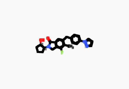 Cc1c(Cc2ccc(-n3cccn3)cc2)cc2c(c1F)CN([C@H]1CCC[C@@H]1O)C2=O